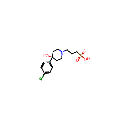 O=S(=O)(O)CCCN1CCC(O)(c2ccc(Br)cc2)CC1